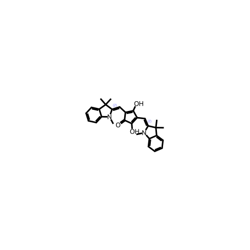 CN1/C(=C\C2=C(O)C(/C=C3\N(C)c4ccccc4C3(C)C)=C(O)C2=O)C(C)(C)c2ccccc21